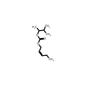 CC/C=C\COC(=O)OC(C)C(C)C